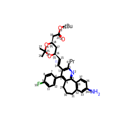 CC(C)c1nc2c(c(-c3ccc(F)cc3)c1/C=C/[C@@H]1C[C@H](CC(=O)OC(C)(C)C)OC(C)(C)O1)CCCc1cc(N)ccc1-2